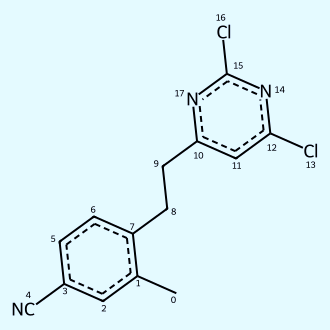 Cc1cc(C#N)ccc1CCc1cc(Cl)nc(Cl)n1